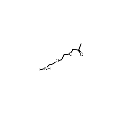 CC(=O)COCCOCCNI